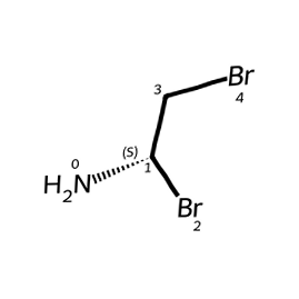 N[C@@H](Br)CBr